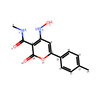 CNC(=O)c1c(NO)cc(-c2ccc(C)cc2)oc1=O